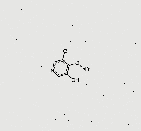 CCCOc1c(O)cncc1Cl